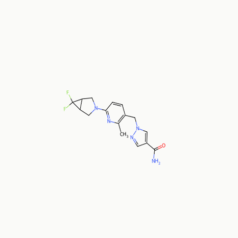 Cc1nc(N2CC3C(C2)C3(F)F)ccc1Cn1cc(C(N)=O)cn1